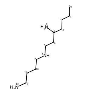 [CH2]CCCC(N)CCNCCCCN